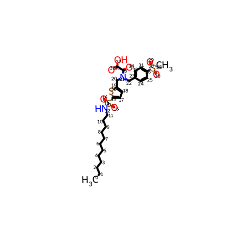 CCCCCCCCCCCCNS(=O)(=O)c1ccc(CN(Cc2ccc(S(C)(=O)=O)cc2)C(=O)C(=O)O)s1